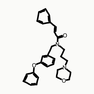 O=C(C=Cc1ccccc1)N(CCCN1CCOCC1)Cc1cccc(Oc2ccccc2)c1